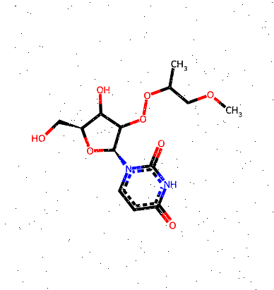 COCC(C)OOC1C(O)[C@H](CO)O[C@@H]1n1ccc(=O)[nH]c1=O